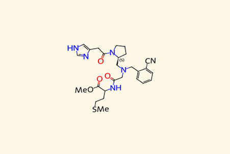 COC(=O)C(CCSC)NC(=O)CN(Cc1ccccc1C#N)C[C@@H]1CCCN1C(=O)Cc1c[nH]cn1